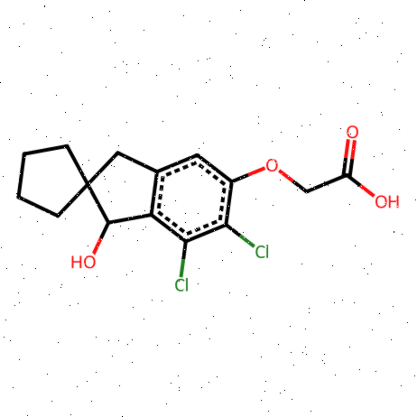 O=C(O)COc1cc2c(c(Cl)c1Cl)C(O)C1(CCCC1)C2